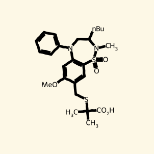 CCCCC1CN(c2ccccc2)c2cc(OC)c(CSC(C)(C)C(=O)O)cc2S(=O)(=O)N1C